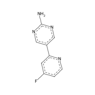 Nc1ncc(-c2cc(F)ccn2)cn1